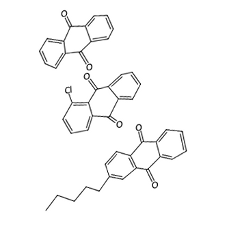 CCCCCc1ccc2c(c1)C(=O)c1ccccc1C2=O.O=C1c2ccccc2C(=O)c2c(Cl)cccc21.O=C1c2ccccc2C(=O)c2ccccc21